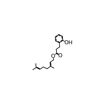 CC(C)=CCC/C(C)=C/COC(=O)CCc1ccccc1O